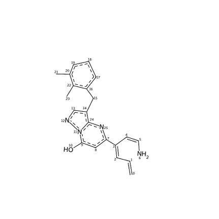 C=C/C=C(\C=C/N)c1cc(O)n2ncc(Cc3cccc(C)c3C)c2n1